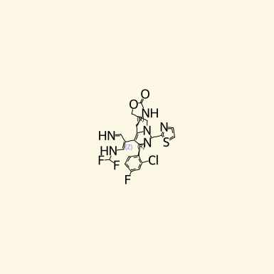 N=C/C(=C\NC(F)F)C1=C2C[C@]3(COC(=O)N3)CN2C(c2nccs2)=N[C@H]1c1ccc(F)cc1Cl